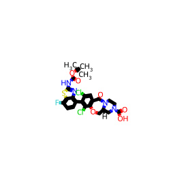 CC(C)(C)OC(=O)Nc1nc2c(-c3c(Cl)cc4c(c3Cl)OC[C@H]3CN(C(=O)O)CCN3C4=O)ccc(F)c2s1